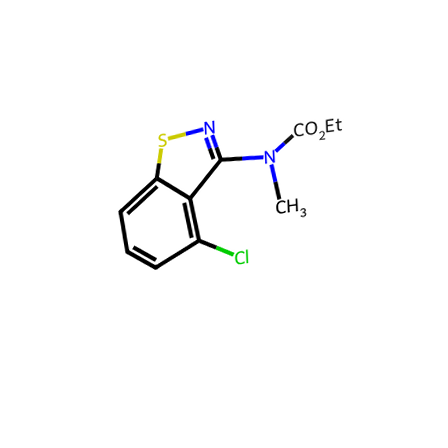 CCOC(=O)N(C)c1nsc2cccc(Cl)c12